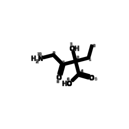 CCC(O)(C(=O)O)C(=O)CN